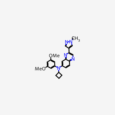 COc1cc(OC)cc(N(c2ccc3ncc(-c4cnn(C)c4)nc3c2)C2CCC2)c1